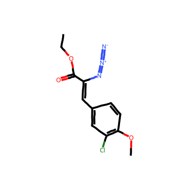 CCOC(=O)C(=Cc1ccc(OC)c(Cl)c1)N=[N+]=[N-]